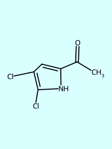 CC(=O)c1cc(Cl)c(Cl)[nH]1